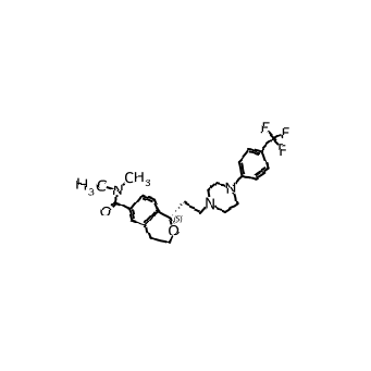 CN(C)C(=O)c1ccc2c(c1)CCO[C@H]2CCN1CCN(c2ccc(C(F)(F)F)cc2)CC1